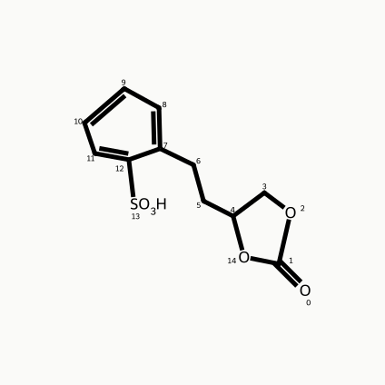 O=C1OCC(CCc2ccccc2S(=O)(=O)O)O1